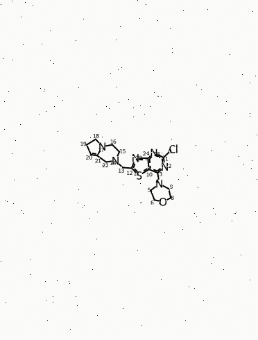 Clc1nc(N2CCOCC2)c2sc(CN3CCN4CCC=C4C3)nc2n1